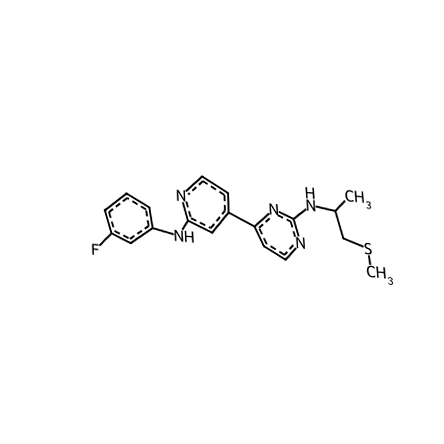 CSCC(C)Nc1nccc(-c2ccnc(Nc3cccc(F)c3)c2)n1